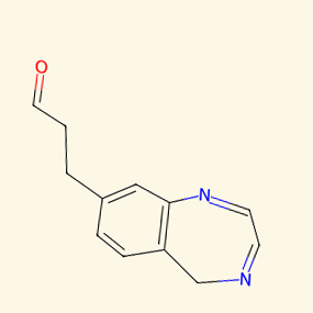 O=CCCc1ccc2c(c1)N=CC=NC2